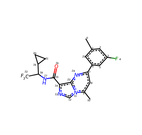 Cc1cc(F)cc(-c2cc(C)n3cnc(C(=O)NC(C4CC4)C(F)(F)F)c3n2)c1